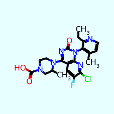 CCc1nccc(C)c1-n1c(=O)nc(N2CCN(C(=O)O)CC2C)c2cc(F)c(Cl)nc21